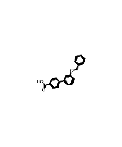 O=C(O)c1ccc(-c2cccc(OCc3ccccc3)c2)cc1